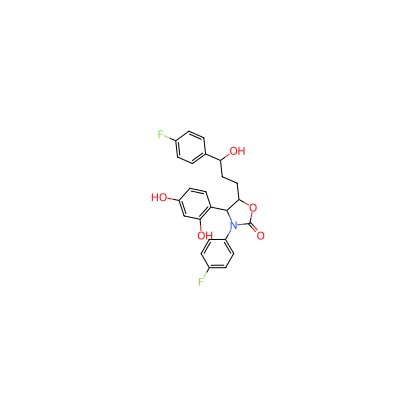 O=C1OC(CCC(O)c2ccc(F)cc2)C(c2ccc(O)cc2O)N1c1ccc(F)cc1